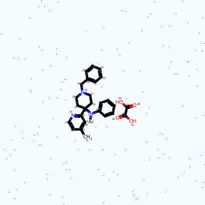 CC(=O)N(c1ccccc1)C1(c2cc(C)ccn2)CCN(Cc2ccccc2)CC1.O=C(O)C(=O)O